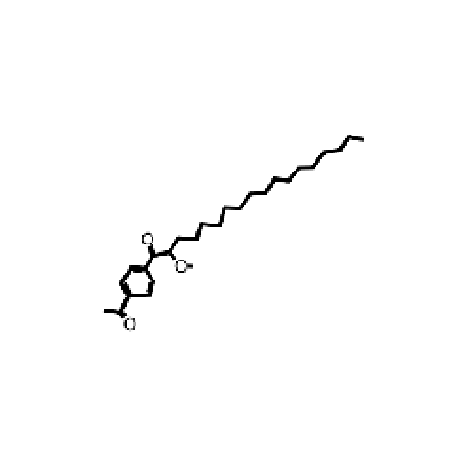 CCCCCCCCCCCCCCCCC(OC)C(=O)c1ccc(C(C)=O)cc1